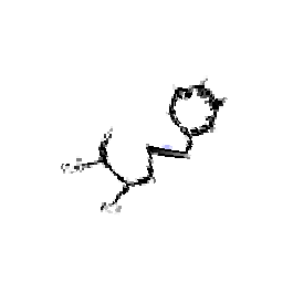 COC(=O)C(C/C=C/c1ccccc1)C(C)=O